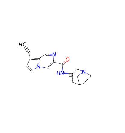 C#Cc1ccn2cc(C(=O)N[C@@H]3CC4CCN(C4)C3)ncc12